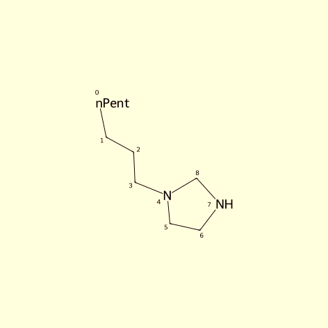 CCCCCCCCN1CCNC1